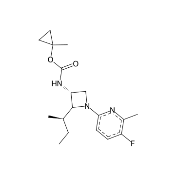 CC[C@@H](C)C1[C@H](NC(=O)OC2(C)CC2)CN1c1ccc(F)c(C)n1